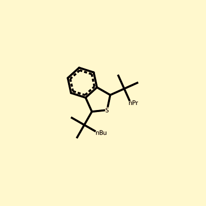 CCCCC(C)(C)C1SC(C(C)(C)CCC)c2ccccc21